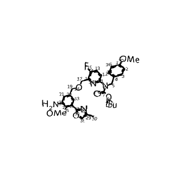 COc1ccc(CN(C(=O)OC(C)(C)C)c2ccc(F)c(COCc3cc(N)c(OC)c(-c4nc(C)co4)c3)n2)cc1